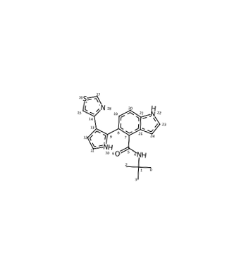 CC(C)(C)NC(=O)c1c(-c2[nH]ccc2-c2cscn2)ccc2[nH]ccc12